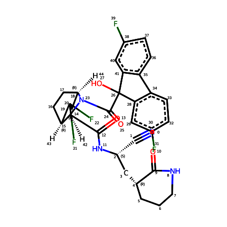 N#C[C@H](C[C@H]1CCCNC1=O)NC(=O)[C@H]1[C@H]2CC[C@H](CC2(F)F)N1C(=O)C1(O)c2cc(F)ccc2-c2ccc(F)cc21